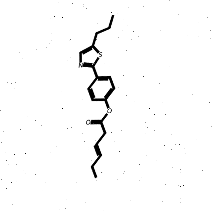 CCC=CCC(=O)Oc1ccc(-c2ncc(CCC)s2)cc1